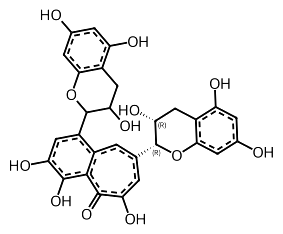 O=c1c(O)cc([C@H]2Oc3cc(O)cc(O)c3C[C@H]2O)cc2c(C3Oc4cc(O)cc(O)c4CC3O)cc(O)c(O)c12